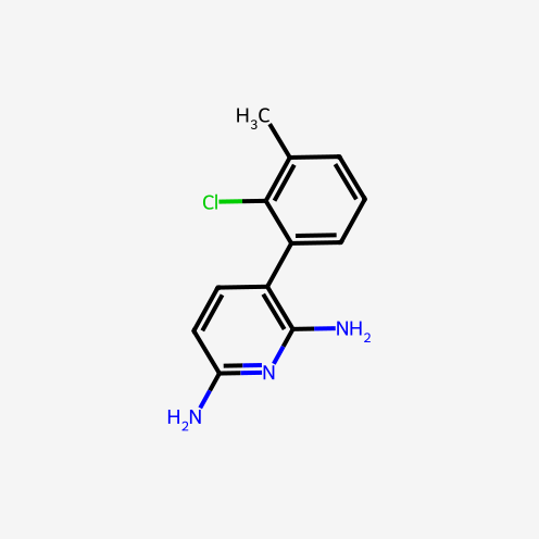 Cc1cccc(-c2ccc(N)nc2N)c1Cl